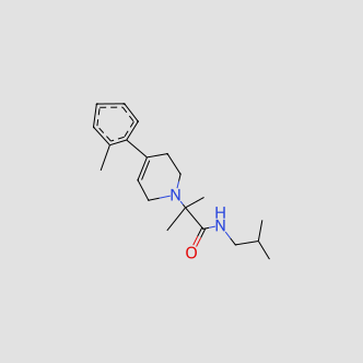 Cc1ccccc1C1=CCN(C(C)(C)C(=O)NCC(C)C)CC1